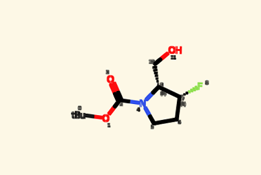 CC(C)(C)OC(=O)N1CC[C@@H](F)[C@H]1CO